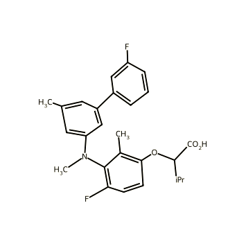 Cc1cc(-c2cccc(F)c2)cc(N(C)c2c(F)ccc(OC(C(=O)O)C(C)C)c2C)c1